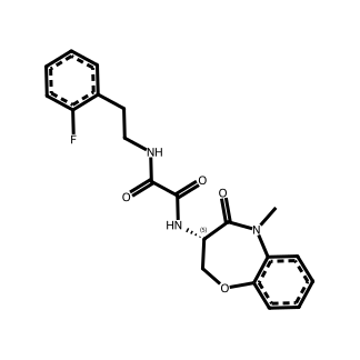 CN1C(=O)[C@@H](NC(=O)C(=O)NCCc2ccccc2F)COc2ccccc21